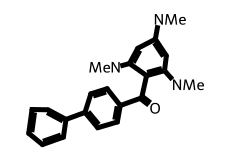 CNc1cc(NC)c(C(=O)c2ccc(-c3ccccc3)cc2)c(NC)c1